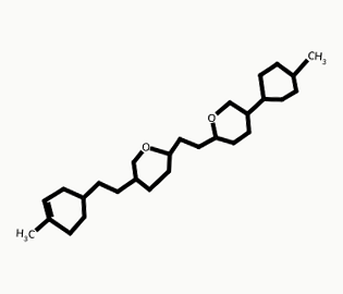 CC1=CCC(CCC2CCC(CCC3CCC(C4CCC(C)CC4)CO3)OC2)CC1